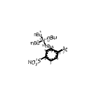 CC(=O)c1ccc(S(=O)(=O)O)cc1.CCCC[N+](CCCC)(CCCC)CCCC